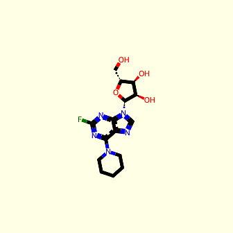 OC[C@H]1O[C@@H](n2cnc3c(N4CCCCC4)nc(F)nc32)[C@H](O)[C@@H]1O